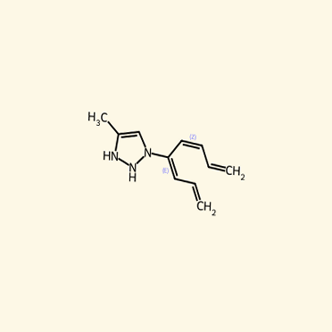 C=C/C=C\C(=C/C=C)N1C=C(C)NN1